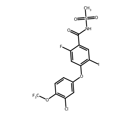 CS(=O)(=O)NC(=O)c1cc(I)c(Oc2ccc(OC(F)(F)F)c(Cl)c2)cc1F